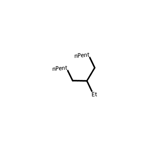 [CH2]CC(CCCCCC)CCCCCC